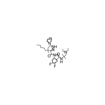 CCCCCC1(C)CC(n2ccnc2)NN=C1C(=O)Nc1cc(F)c(F)cc1C(=O)NC(C)(C)CN(CC)CC